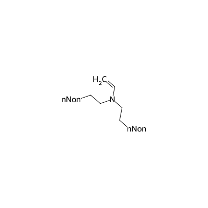 C=CN(CCCCCCCCCCC)CCCCCCCCCCC